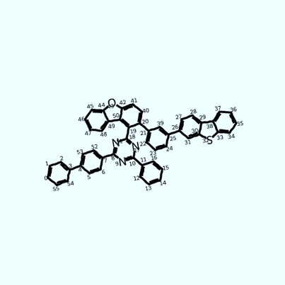 c1ccc(-c2ccc(-c3nc(-c4ccccc4)nc(-c4c(-c5cccc(-c6ccc7c(c6)sc6ccccc67)c5)ccc5oc6ccccc6c45)n3)cc2)cc1